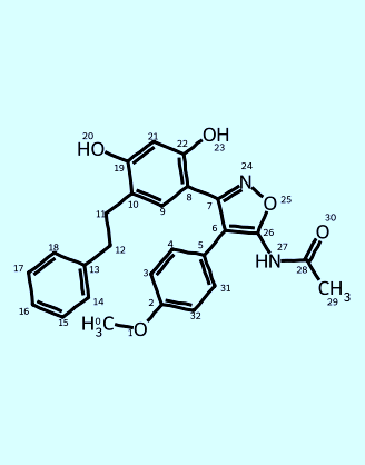 COc1ccc(-c2c(-c3cc(CCc4ccccc4)c(O)cc3O)noc2NC(C)=O)cc1